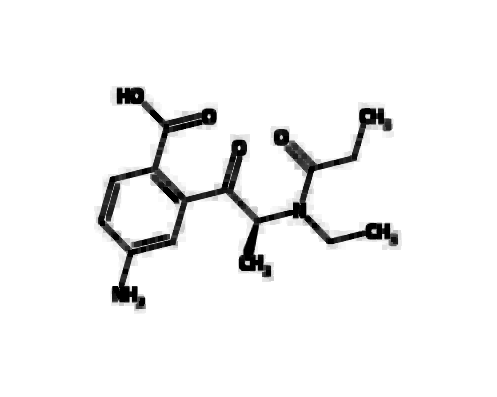 CCC(=O)N(CC)[C@@H](C)C(=O)c1cc(N)ccc1C(=O)O